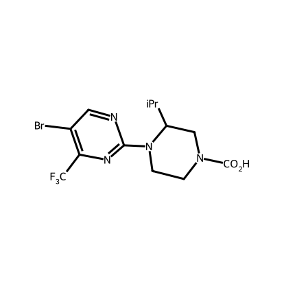 CC(C)C1CN(C(=O)O)CCN1c1ncc(Br)c(C(F)(F)F)n1